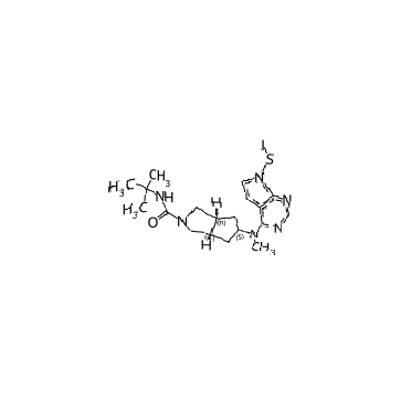 CN(c1ncnc2c1ccn2SI)[C@H]1C[C@@H]2CN(C(=O)NC(C)(C)C)C[C@@H]2C1